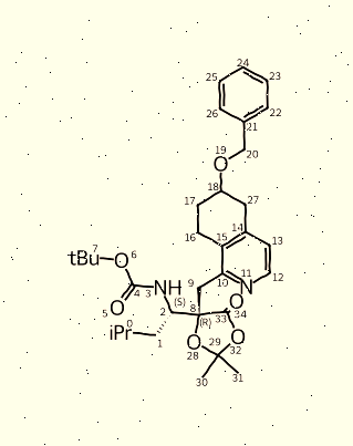 CC(C)C[C@H](NC(=O)OC(C)(C)C)[C@@]1(Cc2nccc3c2CCC(OCc2ccccc2)C3)OC(C)(C)OC1=O